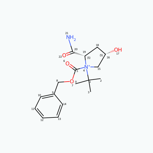 CC(C)(C)[N+]1(C(=O)OCc2ccccc2)C[C@@H](O)C[C@H]1C(N)=O